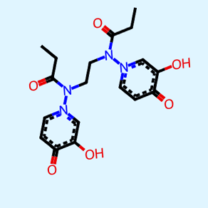 CCC(=O)N(CCN(C(=O)CC)n1ccc(=O)c(O)c1)n1ccc(=O)c(O)c1